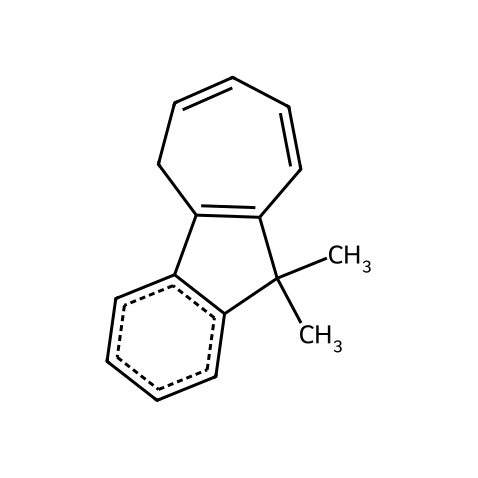 CC1(C)C2=C(CC=CC=C2)c2ccccc21